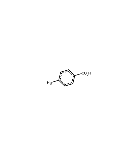 O=C(O)c1cc[c]([Hg])cc1